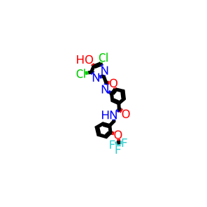 O=C(NCc1ccccc1OC(F)(F)F)c1ccc2oc(-c3nc(Cl)c(O)c(Cl)n3)nc2c1